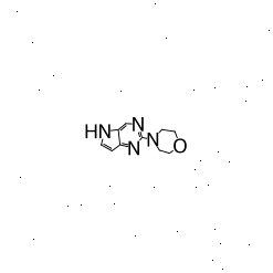 c1cc2nc(N3CCOCC3)ncc2[nH]1